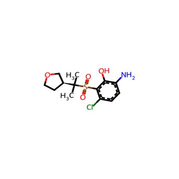 CC(C)([C@H]1CCOC1)S(=O)(=O)c1c(Cl)ccc(N)c1O